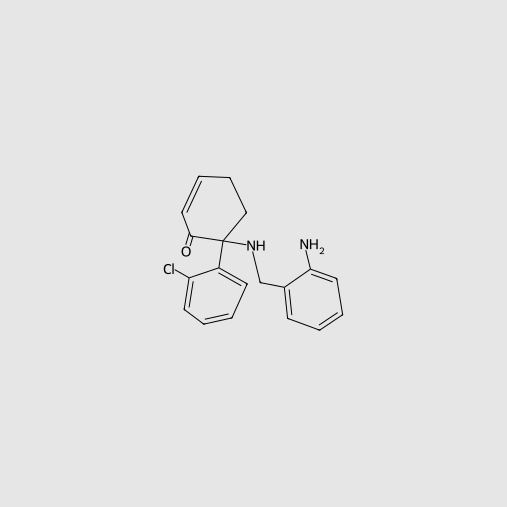 Nc1ccccc1CNC1(c2ccccc2Cl)CCC=CC1=O